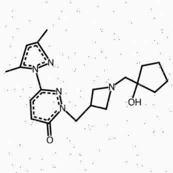 Cc1cc(C)n(-c2ccc(=O)n(CC3CN(CC4(O)CCCC4)C3)n2)n1